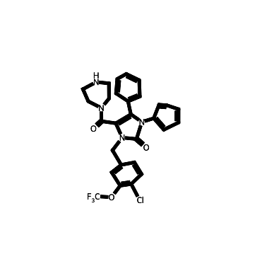 O=C(c1c(-c2ccccc2)n(-c2ccccc2)c(=O)n1Cc1ccc(Cl)c(OC(F)(F)F)c1)N1CCNCC1